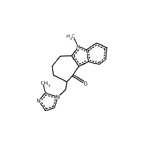 Cc1nccn1CC1CCCc2c(c3ccccc3n2C)C1=O